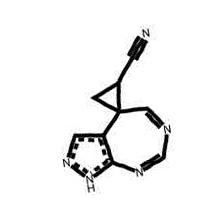 N#CC1CC12C=NC=Nc1[nH]ncc12